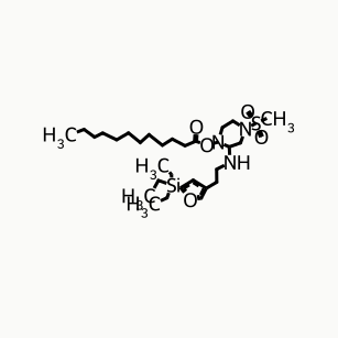 CCCCCCCCCCCC(=O)ON1CCN(S(C)(=O)=O)CC1NCCc1coc([Si](CC)(CC)CC)c1